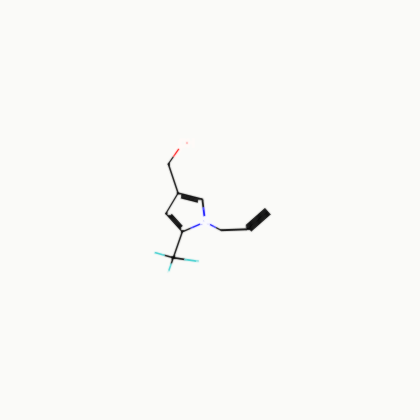 C#CCn1cc(CO)cc1C(F)(F)F